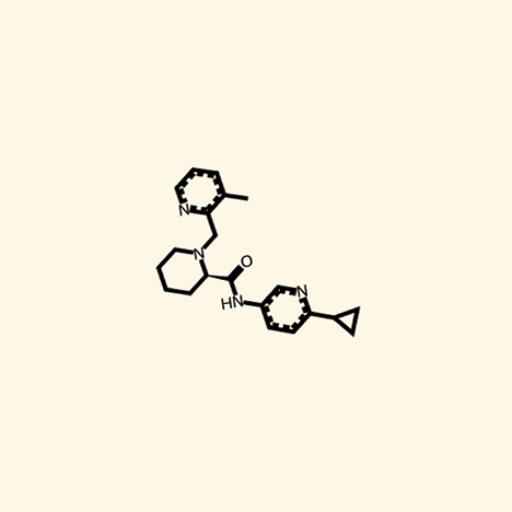 Cc1cccnc1CN1CCCC[C@@H]1C(=O)Nc1ccc(C2CC2)nc1